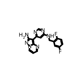 Nc1nn2cccnc2c1-c1cc(NCc2cc(F)ccc2F)ncn1